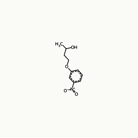 CC(O)CCOc1cccc([N+](=O)[O-])c1